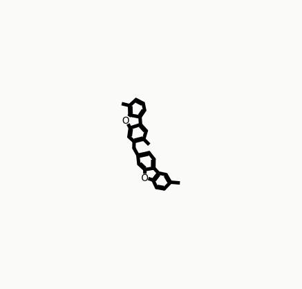 Cc1ccc2oc3cc(Cc4cc5oc6c(C)cccc6c5cc4C)ccc3c2c1